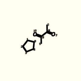 C1CCCC1.CC(=O)C(C)=O